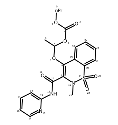 CCCOC(=O)OC(C)OC1=C(C(=O)Nc2ccccn2)N(C)S(=O)(=O)c2ccccc21